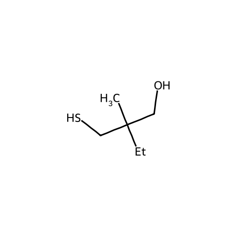 CCC(C)(CO)CS